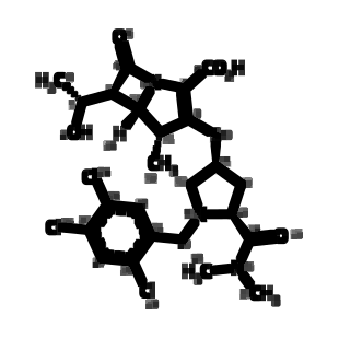 C[C@@H](O)[C@H]1C(=O)N2C(C(=O)O)=C(S[C@H]3C[C@@H](C(=O)N(C)C)N(Cc4cc(Cl)c(Cl)cc4Cl)C3)[C@H](C)[C@H]12